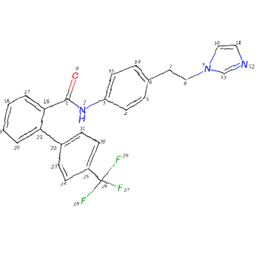 O=C(Nc1ccc(CCn2ccnc2)cc1)c1ccccc1-c1ccc(C(F)(F)F)cc1